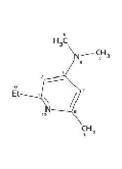 CCc1cc(N(C)C)cc(C)n1